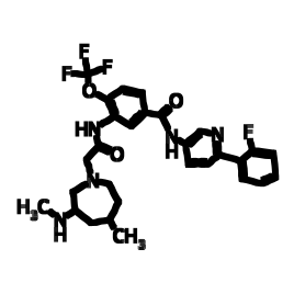 CNC1CC(C)CCN(CC(=O)Nc2cc(C(=O)Nc3ccc(-c4ccccc4F)nc3)ccc2OC(F)(F)F)C1